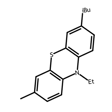 CCC(C)c1ccc2c(c1)Sc1cc(C)ccc1N2CC